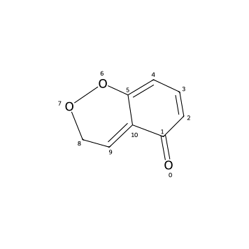 O=C1C=CC=C2OOCC=C12